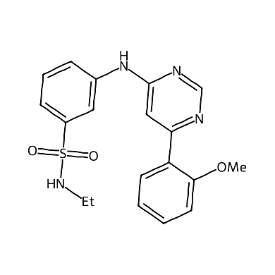 CCNS(=O)(=O)c1cccc(Nc2cc(-c3ccccc3OC)ncn2)c1